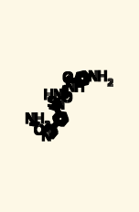 NCCOc1cc(-c2cccc(-c3csc(NC(=O)CNC(=O)c4ccc(N)cc4)n3)c2)ccn1